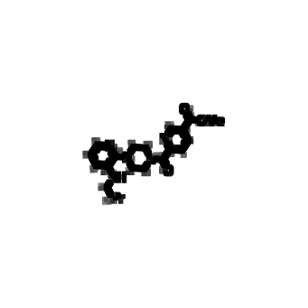 COC(=O)c1ccc(C(=O)N2CCN(c3ncccc3NCC(C)C)CC2)nc1